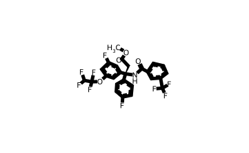 COC(=O)C[C@@](NC(=O)c1cccc(C(F)(F)F)c1)(c1ccc(F)cc1)c1cc(F)cc(OC(F)(F)C(F)F)c1